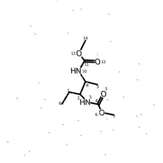 CCC(NC(=O)OC)C(C)NC(=O)OC